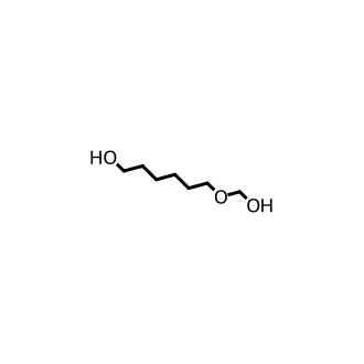 OCCCCCCOCO